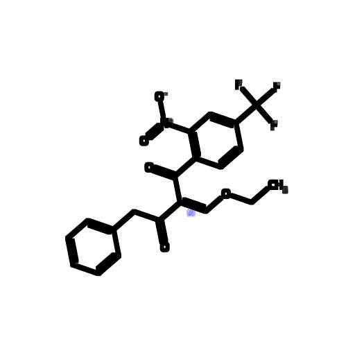 CCO/C=C(/C(=O)Cc1ccccc1)C(=O)c1ccc(C(F)(F)F)cc1[N+](=O)[O-]